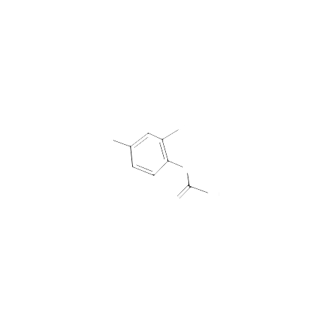 CC(=O)Oc1ccc(Cl)cc1Cl